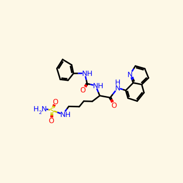 NS(=O)(=O)NCCCCC(NC(=O)Nc1ccccc1)C(=O)Nc1cccc2cccnc12